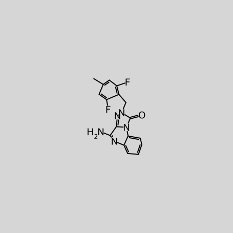 Cc1cc(F)c(Cn2nc3c(N)nc4ccccc4n3c2=O)c(F)c1